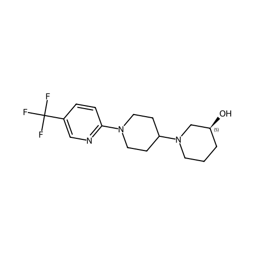 O[C@H]1CCCN(C2CCN(c3ccc(C(F)(F)F)cn3)CC2)C1